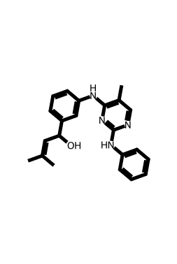 CC(C)=CC(O)c1cccc(Nc2nc(Nc3ccccc3)ncc2C)c1